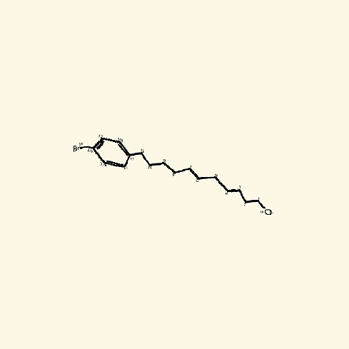 [O]CCCCCCCCCCCc1ccc(Br)cc1